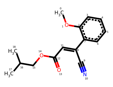 COc1ccccc1C(C#N)=CC(=O)OCC(C)C